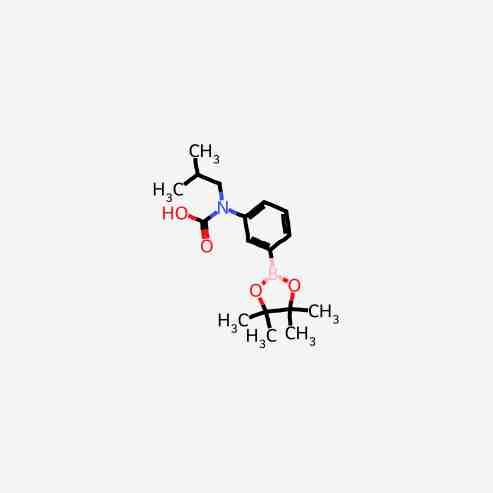 CC(C)CN(C(=O)O)c1cccc(B2OC(C)(C)C(C)(C)O2)c1